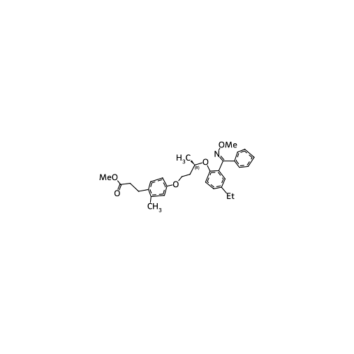 CCc1ccc(O[C@H](C)CCOc2ccc(CCC(=O)OC)c(C)c2)c(C(=NOC)c2ccccc2)c1